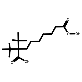 CC(C)(C)C(CCCCCCC(=O)OO)(C(=O)O)C(C)(C)C